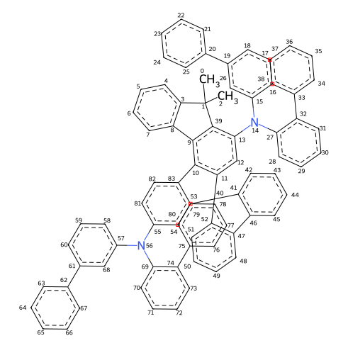 CC1(C)c2ccccc2-c2c3c(cc(N(c4cccc(-c5ccccc5)c4)c4ccccc4-c4ccccc4)c21)C1(c2ccccc2-c2ccccc21)c1cc(N(c2cccc(-c4ccccc4)c2)c2ccccc2-c2ccccc2)ccc1-3